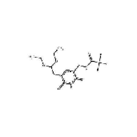 CCOC(Cn1cc(CNC(=O)C(F)(F)F)c(=O)[nH]c1=O)OCC